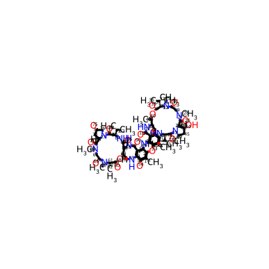 Cc1c2oc3c(C)ccc(C(=O)N[C@@H]4C(=O)N[C@H](C(C)C)C(=O)N5[C@H](C(=O)N(C)CC(=O)N(C)[C@@H](C(C)C)C(=O)O[C@@H]4C)[C@@H](O)C[C@@H]5C)c3nc-2c2c(c1=O)NC[C@H]1OC(=O)[C@H](C)N(C)C(=O)CN(C)C(=O)[C@@H]3CC(=O)CN3C(=O)[C@@H](C(C)C)NC(=O)[C@H]1NC2=O